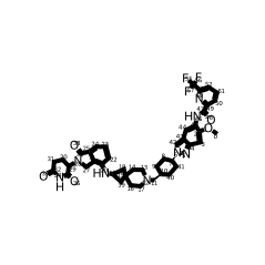 COc1cc2nn([C@H]3CC[C@H](CN4CCC5(CC4)CC(Nc4cccc6c4CN(C4CCC(=O)NC4=O)C6=O)C5)CC3)cc2cc1NC(=O)c1cccc(C(F)(F)F)n1